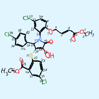 COC(=O)C=CCOc1ccc(Cl)cc1N1C(=O)C(O)=C(Sc2ccc(Cl)cc2C(=O)OC)C1c1ccc(Cl)cc1